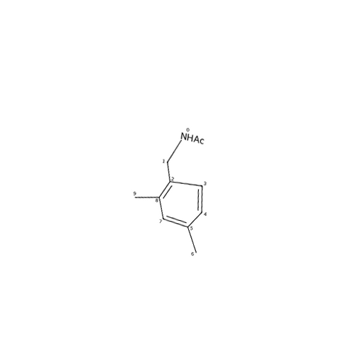 CC(=O)NCc1ccc(C)cc1C